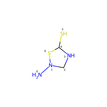 NN1CNC(S)S1